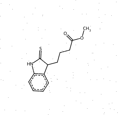 COC(=O)CCCC1C(=S)Nc2ccccc21